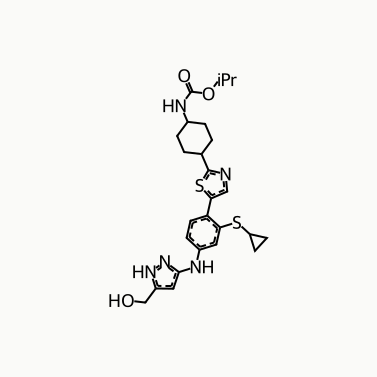 CC(C)OC(=O)NC1CCC(c2ncc(-c3ccc(Nc4cc(CO)[nH]n4)cc3SC3CC3)s2)CC1